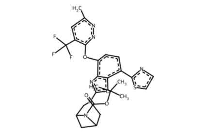 Cc1cc(C(F)(F)F)c(Oc2ccc(-c3nccs3)c3oc(N4CC5CC(C4)N5C(=O)OC(C)(C)C)nc23)nn1